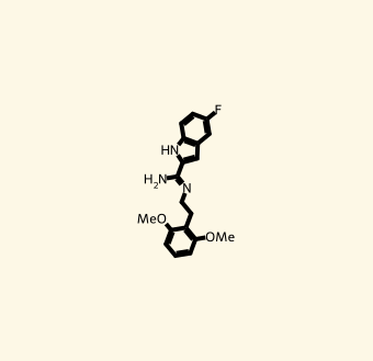 COc1cccc(OC)c1CCN=C(N)c1cc2cc(F)ccc2[nH]1